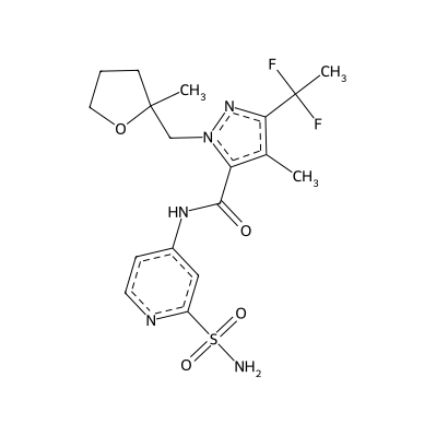 Cc1c(C(C)(F)F)nn(CC2(C)CCCO2)c1C(=O)Nc1ccnc(S(N)(=O)=O)c1